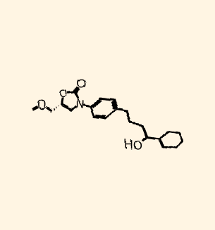 COC[C@H]1CN(c2ccc(CCCC(O)C3CCCCC3)cc2)C(=O)O1